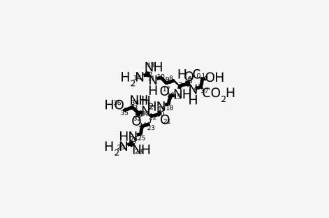 C[C@@H](O)[C@H](NC(=O)[C@H](CCCNC(=N)N)NC(=O)CNC(=O)[C@H](CCCNC(=N)N)NC(=O)[C@@H](N)CO)C(=O)O